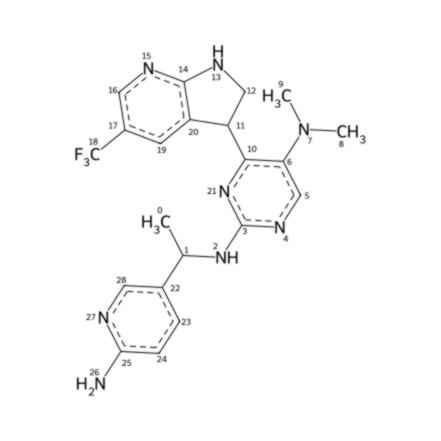 CC(Nc1ncc(N(C)C)c(C2CNc3ncc(C(F)(F)F)cc32)n1)c1ccc(N)nc1